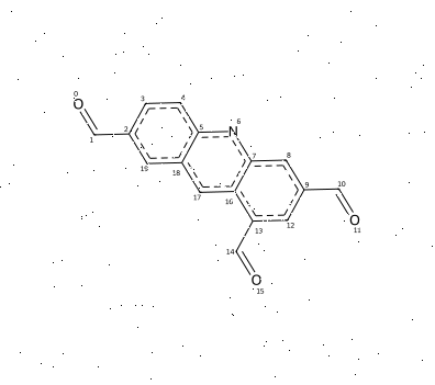 O=Cc1ccc2nc3cc(C=O)cc(C=O)c3cc2c1